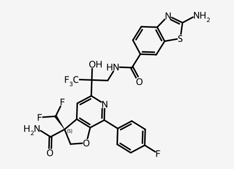 NC(=O)[C@@]1(C(F)F)COc2c1cc(C(O)(CNC(=O)c1ccc3nc(N)sc3c1)C(F)(F)F)nc2-c1ccc(F)cc1